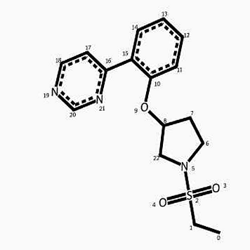 CCS(=O)(=O)N1CCC(Oc2ccccc2-c2ccncn2)C1